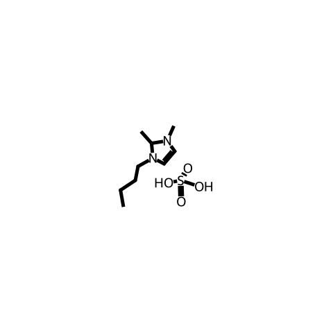 CCCCN1C=CN(C)C1C.O=S(=O)(O)O